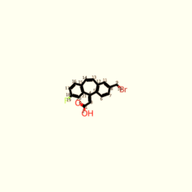 O=C(O)/C=C1/c2ccc(CBr)cc2C=Cc2ccc(F)cc21